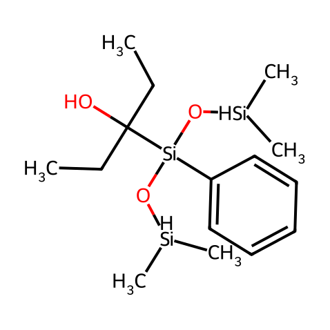 CCC(O)(CC)[Si](O[SiH](C)C)(O[SiH](C)C)c1ccccc1